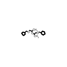 CC(COCc1ccccc1)OC(C)COCc1ccccc1